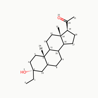 CC[C@@]1(O)CC[C@H]2C(CCC3C2CC[C@@]2(C)C3CC[C@@H]2C(C)=O)C1